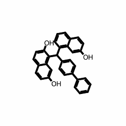 Oc1ccc2cccc(C(c3ccc(-c4ccccc4)cc3)c3c(O)ccc4ccc(O)cc34)c2c1